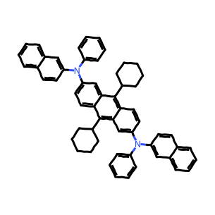 c1ccc(N(c2ccc3ccccc3c2)c2ccc3c(C4CCCCC4)c4cc(N(c5ccccc5)c5ccc6ccccc6c5)ccc4c(C4CCCCC4)c3c2)cc1